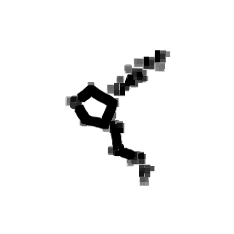 C1CCOC1.CCOCC.[Al+3].[H-].[H-].[H-].[H-].[Li+]